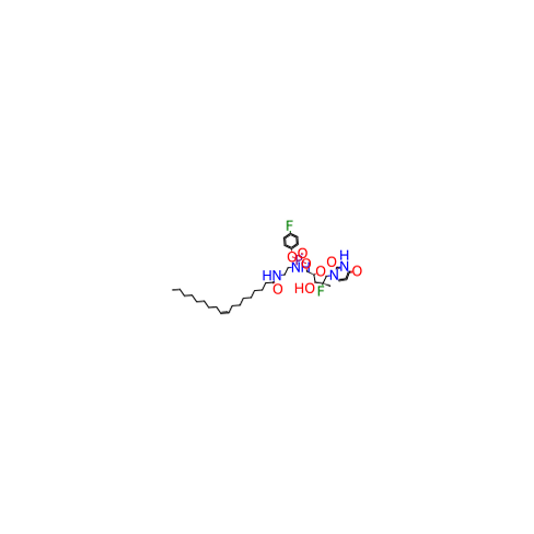 CCCCCCCC/C=C\CCCCCCCC(=O)NCCNP(=O)(OC[C@H]1O[C@@H](n2ccc(=O)[nH]c2=O)[C@](C)(F)[C@@H]1O)Oc1ccc(F)cc1